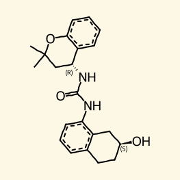 CC1(C)C[C@@H](NC(=O)Nc2cccc3c2C[C@@H](O)CC3)c2ccccc2O1